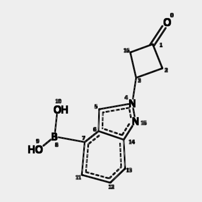 O=C1CC(n2cc3c(B(O)O)cccc3n2)C1